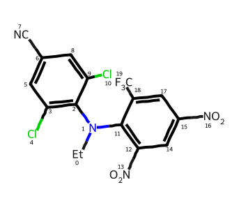 CCN(c1c(Cl)cc(C#N)cc1Cl)c1c([N+](=O)[O-])cc([N+](=O)[O-])cc1C(F)(F)F